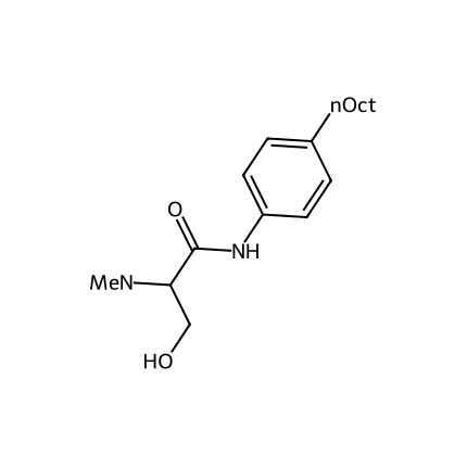 CCCCCCCCc1ccc(NC(=O)C(CO)NC)cc1